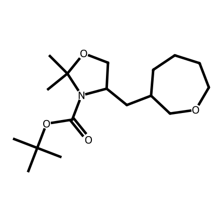 CC(C)(C)OC(=O)N1C(CC2CCCCOC2)COC1(C)C